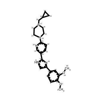 COc1ccc(-c2c[nH]c(-c3ccc(N4CCN(CC5CC5)CC4)nc3)n2)cc1OC